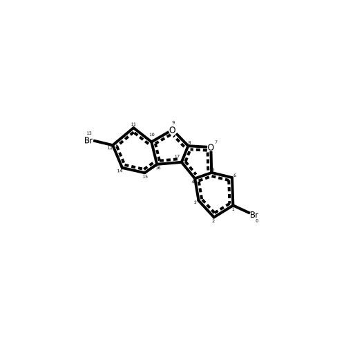 Brc1ccc2c(c1)oc1oc3cc(Br)ccc3c12